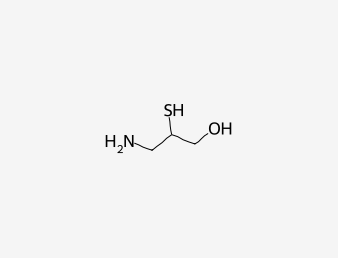 NCC(S)CO